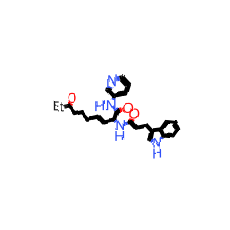 CCC(=O)CCCCCC(NC(=O)CCc1c[nH]c2ccccc12)C(=O)Nc1cccnc1